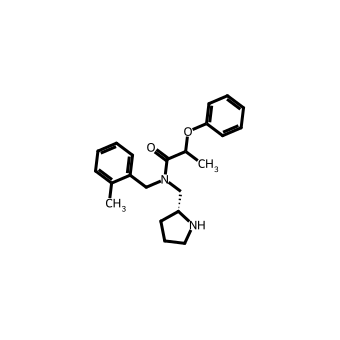 Cc1ccccc1CN(C[C@H]1CCCN1)C(=O)C(C)Oc1ccccc1